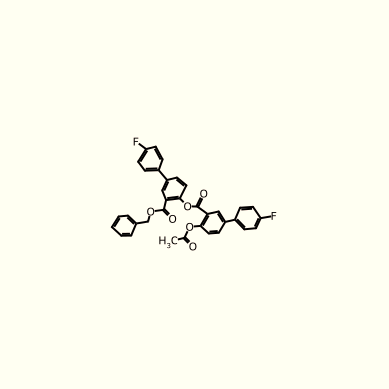 CC(=O)Oc1ccc(-c2ccc(F)cc2)cc1C(=O)Oc1ccc(-c2ccc(F)cc2)cc1C(=O)OCc1ccccc1